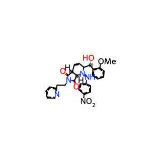 COc1ccccc1[C@@H](O)C1C=C[C@H]2C(=O)N(CCc3ccccn3)C(=O)[C@H]2N1Nc1ccc([N+](=O)[O-])cc1